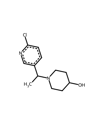 CC(c1ccc(Cl)nc1)N1CCC(O)CC1